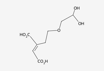 O=C(O)C=C(CCOCC(O)O)C(=O)O